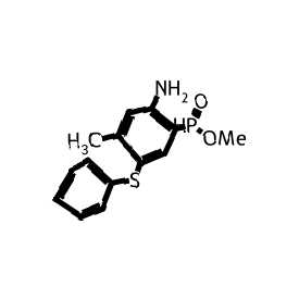 CO[PH](=O)c1cc(Sc2ccccc2)c(C)cc1N